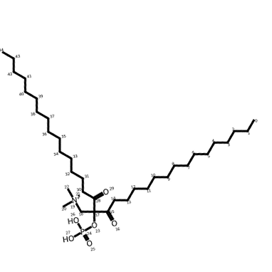 CCCCCCCCCCCCCCCC(=O)C(C[N+](C)(C)C)(OP(=O)(O)O)C(=O)CCCCCCCCCCCCCCC